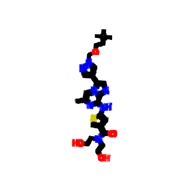 Cc1cn2c(-c3cnn(COCC[Si](C)(C)C)c3)cnc2c(Nc2cc(C(=O)N(CCO)CCO)cs2)n1